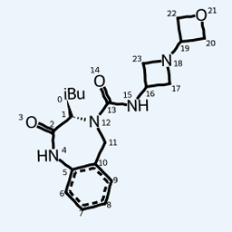 CC[C@H](C)[C@H]1C(=O)Nc2ccccc2CN1C(=O)NC1CN(C2COC2)C1